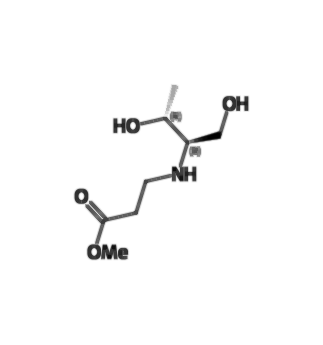 COC(=O)CCN[C@H](CO)[C@@H](C)O